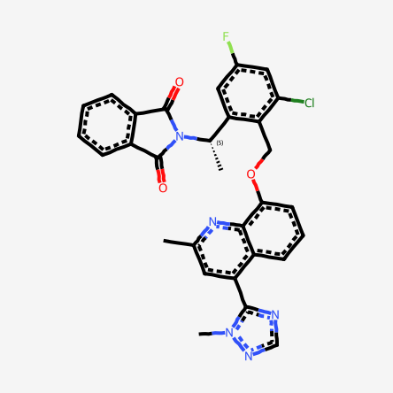 Cc1cc(-c2ncnn2C)c2cccc(OCc3c(Cl)cc(F)cc3[C@H](C)N3C(=O)c4ccccc4C3=O)c2n1